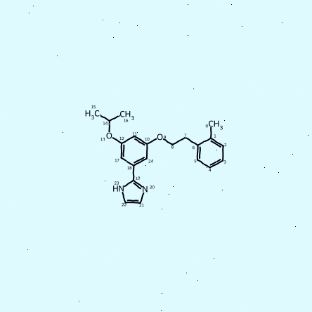 Cc1ccccc1CCOc1cc(OC(C)C)cc(-c2ncc[nH]2)c1